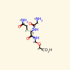 NCC(=O)N[C@@H](CCC(N)=O)C(=O)NCOCC(=O)O